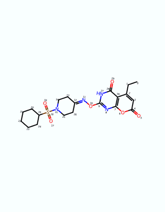 CCc1cc(=O)oc2nc(ON=C3CCN(S(=O)(=O)C4CCCCC4)CC3)[nH]c(=O)c12